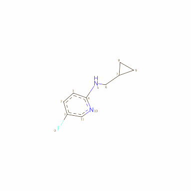 Fc1ccc(NCC2CC2)nc1